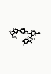 CC(NC(=O)c1nc(C#N)cnc1NCc1ccc(-c2cnc3[nH]nc(N)c3c2)cc1)c1ccc(F)c(F)c1